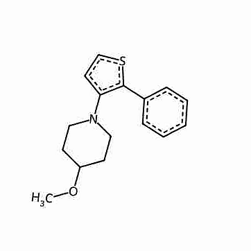 COC1CCN(c2ccsc2-c2ccccc2)CC1